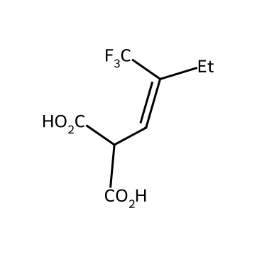 CCC(=CC(C(=O)O)C(=O)O)C(F)(F)F